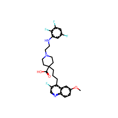 COc1ccc2ncc(F)c(CCCC3(C(=O)O)CCN(CCNc4cc(F)cc(F)c4F)CC3)c2c1